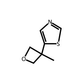 CC1(c2cncs2)COC1